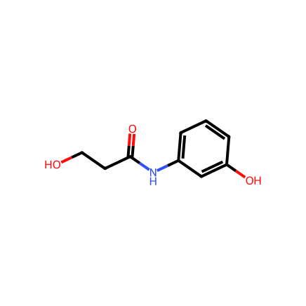 O=C(CCO)Nc1cccc(O)c1